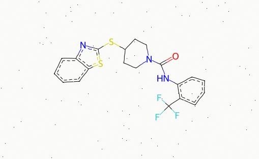 O=C(Nc1ccccc1C(F)(F)F)N1CCC(Sc2nc3ccccc3s2)CC1